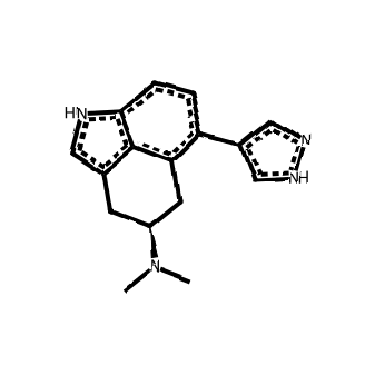 CN(C)[C@H]1Cc2c[nH]c3ccc(-c4cn[nH]c4)c(c23)C1